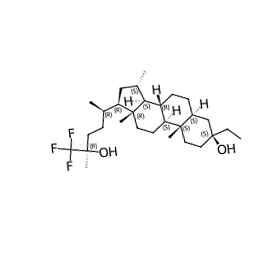 CC[C@]1(O)CC[C@@]2(C)[C@@H](CC[C@H]3[C@@H]4[C@@H](C)C[C@H]([C@H](C)CC[C@@](C)(O)C(F)(F)F)[C@@]4(C)CC[C@@H]32)C1